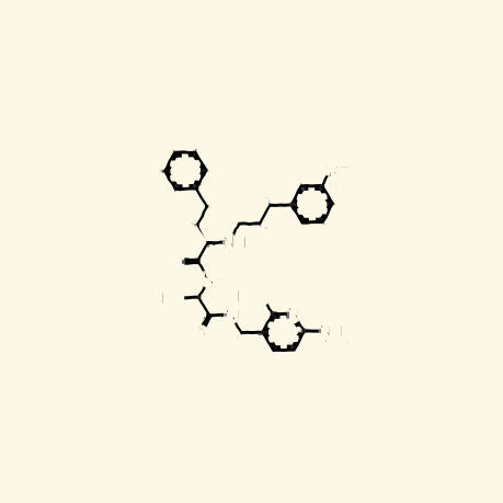 Cc1nc(N)ccc1CNC(=O)C(C)NC(=O)[C@@H](CCc1ccccc1)NCCCc1cccc(O)c1